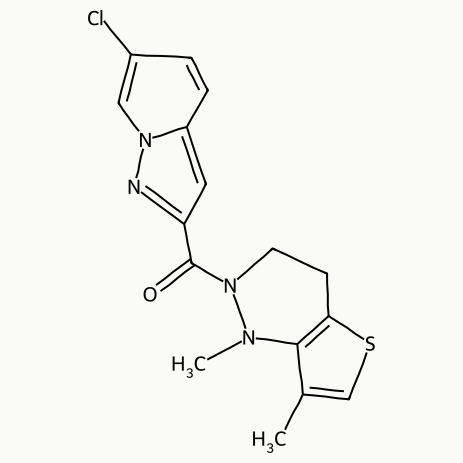 Cc1csc2c1N(C)N(C(=O)c1cc3ccc(Cl)cn3n1)CC2